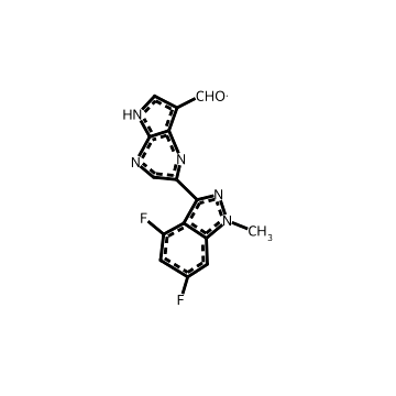 Cn1nc(-c2cnc3[nH]cc([C]=O)c3n2)c2c(F)cc(F)cc21